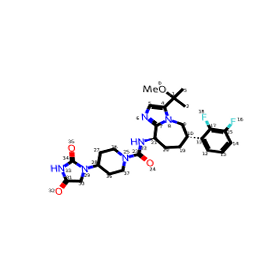 COC(C)(C)c1cnc2n1C[C@H](c1cccc(F)c1F)CC[C@H]2NC(=O)N1CCC(N2CC(=O)NC2=O)CC1